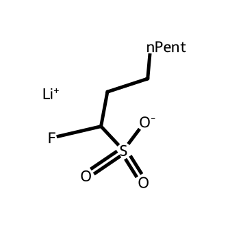 CCCCCCCC(F)S(=O)(=O)[O-].[Li+]